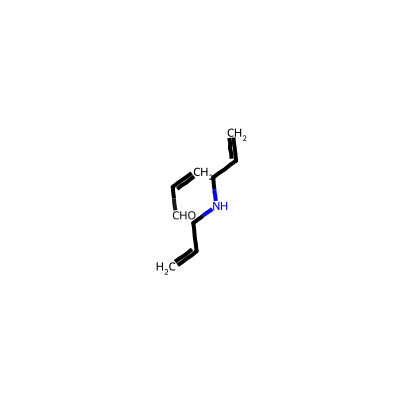 C=CC=O.C=CCNCC=C